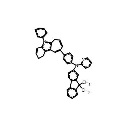 CC1(C)c2ccccc2-c2ccc(N(c3ccc(C4=Cc5c6c(n(-c7ccccc7)c5CC=C4)C=CCC6)cc3)c3ccccn3)cc21